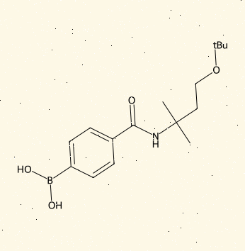 CC(C)(CCOC(C)(C)C)NC(=O)c1ccc(B(O)O)cc1